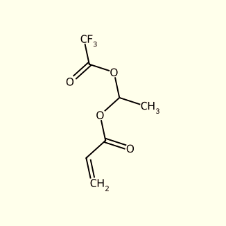 C=CC(=O)OC(C)OC(=O)C(F)(F)F